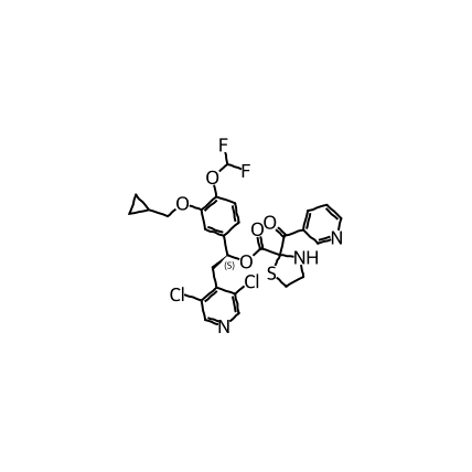 O=C(O[C@@H](Cc1c(Cl)cncc1Cl)c1ccc(OC(F)F)c(OCC2CC2)c1)C1(C(=O)c2cccnc2)NCCS1